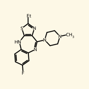 CCc1nc2c(s1)Nc1ccc(F)cc1N=C2N1CCN(C)CC1